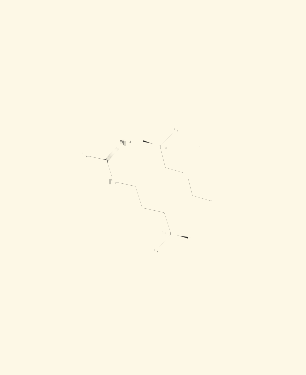 N=C(N)NCCC[C@H](N)C(=O)O.N[C@@H](CSCC(=O)O)C(=O)O.O.O.O